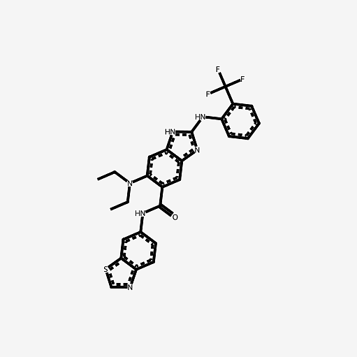 CCN(CC)c1cc2[nH]c(Nc3ccccc3C(F)(F)F)nc2cc1C(=O)Nc1ccc2ncsc2c1